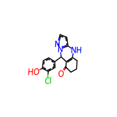 O=C1CCCC2=C1C(c1ccc(O)c(Cl)c1)n1nccc1N2